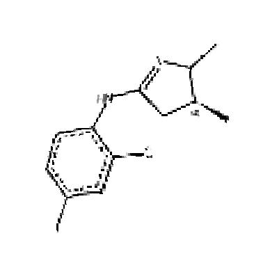 CC1N=C(Nc2ccc(I)cc2Cl)C[C@@H]1C